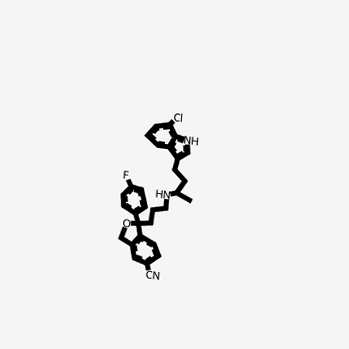 CC(CCc1c[nH]c2c(Cl)cccc12)NCCCC1(c2ccc(F)cc2)OCc2cc(C#N)ccc21